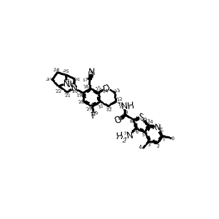 Cc1cc(C)c2c(N)c(C(=O)N[C@H]3COc4c(C#N)c(N5CC6CCC(C5)N6)cc(F)c4C3)sc2n1